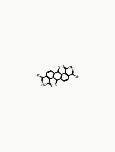 O=C(O)c1ccc2c(c1C(=O)O)C(=O)c1ccc(C(=O)O)c(C(=O)O)c1C2=O